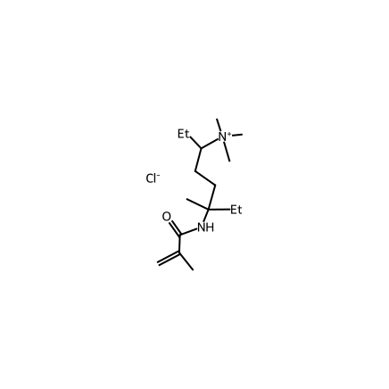 C=C(C)C(=O)NC(C)(CC)CCC(CC)[N+](C)(C)C.[Cl-]